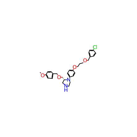 COc1ccc(COC[C@H]2CNCCN2c2ccc(OCCCOCc3ccc(Cl)cc3)cc2)cc1